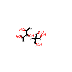 CC(CO)(CO)CO.CC(O)C(O)C(C)O